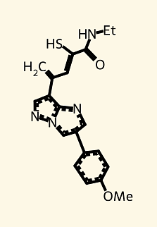 C=C(/C=C(\S)C(=O)NCC)c1cnn2cc(-c3ccc(OC)cc3)cnc12